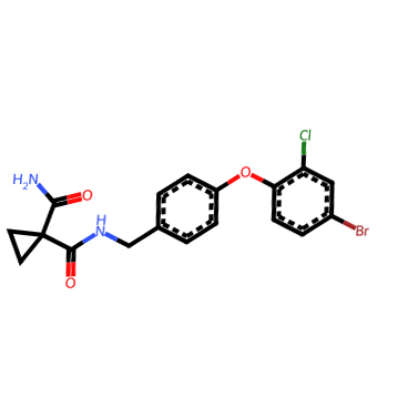 NC(=O)C1(C(=O)NCc2ccc(Oc3ccc(Br)cc3Cl)cc2)CC1